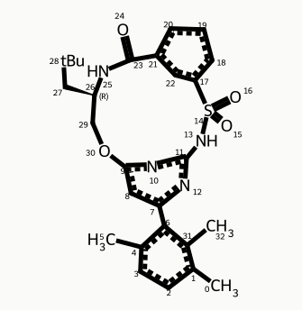 Cc1ccc(C)c(-c2cc3nc(n2)NS(=O)(=O)c2cccc(c2)C(=O)N[C@H](CC(C)(C)C)CO3)c1C